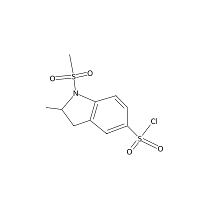 CC1Cc2cc(S(=O)(=O)Cl)ccc2N1S(C)(=O)=O